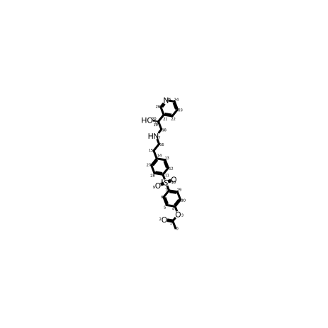 CC(=O)Oc1ccc(S(=O)(=O)c2ccc(CCNC[C@@H](O)c3cccnc3)cc2)cc1